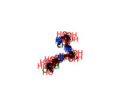 Cc1cn(CC2O[C@H](OCc3cn(C[C@H]4O[C@H](OCc5cn(C[C@H]6OC(CCl)(O[C@H]7O[C@H](CO)[C@H](Cl)[C@H](O)[C@H]7O)[C@@H](O)[C@@H]6O)nn5)[C@@H](O)[C@@H](O)[C@@H]4O)nn3)[C@@H](O)[C@@H](O)[C@@H]2O)nn1